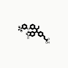 CCC(=C(c1ccc(C=CC(=O)O)cc1)c1ccc2[nH]ncc2c1)c1cccc(Oc2cccc(S(C)(=O)=O)c2)c1